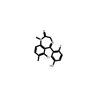 Cc1ccc2c(c1Cl)C(c1cc(O)ccc1F)=NCC(=O)N2C